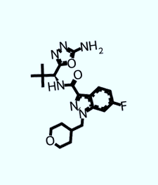 CC(C)(C)[C@H](NC(=O)c1nn(CC2CCOCC2)c2cc(F)ccc12)c1nnc(N)o1